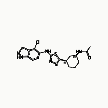 CC(=O)N[C@H]1CCC[C@@H](c2nnc(Nc3ccc4[nH]ncc4c3Cl)s2)C1